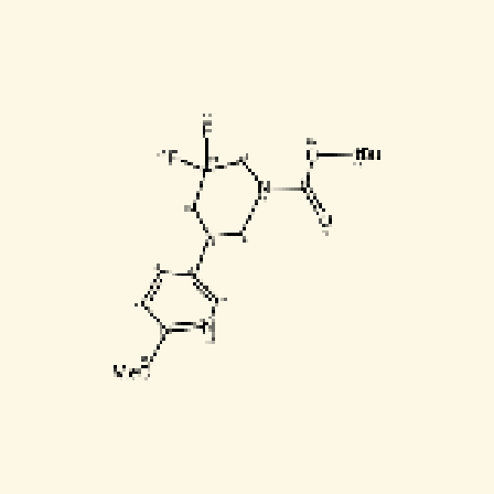 COc1ccc(C2CN(C(=O)OC(C)(C)C)CC(F)(F)C2)cn1